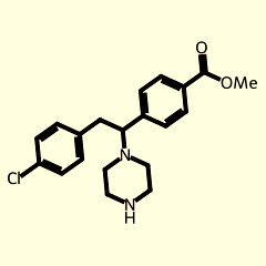 COC(=O)c1ccc(C(Cc2ccc(Cl)cc2)N2CCNCC2)cc1